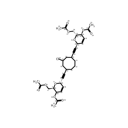 CC(=O)OC[C@H]1O[C@H](C#CC2CCCC(C#C[C@@H]3C=C[C@H](OC(C)=O)[C@@H](COC(C)=O)O3)CC(Cl)C2)C=CC1OC(C)=O